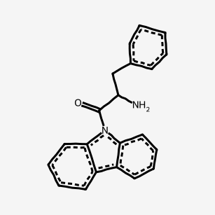 NC(Cc1ccccc1)C(=O)n1c2ccccc2c2ccccc21